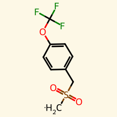 [CH2]S(=O)(=O)Cc1ccc(OC(F)(F)F)cc1